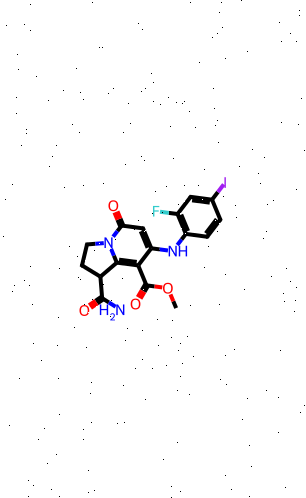 COC(=O)c1c(Nc2ccc(I)cc2F)cc(=O)n2c1C(C(N)=O)CC2